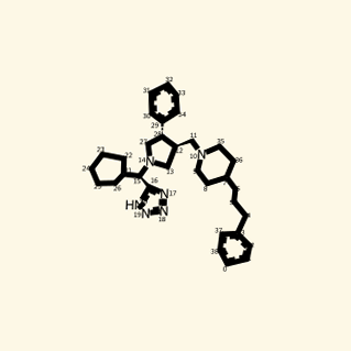 c1ccc(CCCC2CCN(C[C@H]3CN([C@@H](c4nnn[nH]4)C4CCCCC4)C[C@@H]3c3ccccc3)CC2)cc1